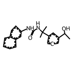 CC(O)c1cccc(C(C)(C)NC(=O)Nc2ccc3ccccc3c2)c1